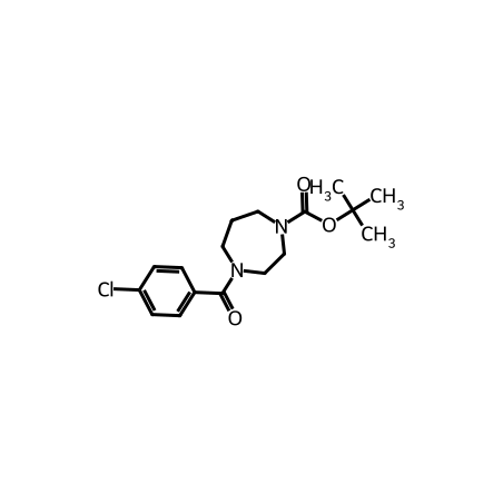 CC(C)(C)OC(=O)N1CCCN(C(=O)c2ccc(Cl)cc2)CC1